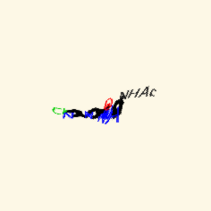 CC(=O)Nc1cccc(-n2[nH]c3c(c2=O)CCN(Cc2ccc(Cl)nc2)C3)c1